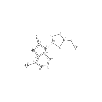 C[C](C)CN1CC[C@@H](n2c(=O)[nH]c3c(N)ncnc32)C1